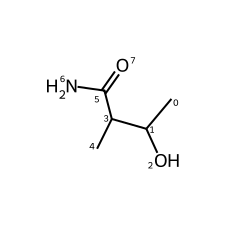 CC(O)C(C)C(N)=O